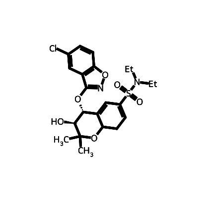 CCN(CC)S(=O)(=O)C1=CCC2OC(C)(C)[C@@H](O)[C@H](Oc3noc4ccc(Cl)cc34)C2=C1